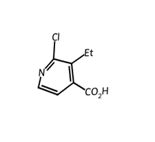 CCc1c(C(=O)O)ccnc1Cl